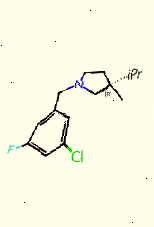 CC(C)[C@@]1(C)CCN(Cc2cc(F)cc(Cl)c2)C1